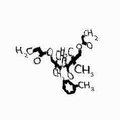 C=CC(=O)OCC(C)(C)COC(=O)C(C)(C)COC(=O)C=C.Cc1ccccc1